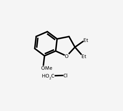 CCC1(CC)Cc2cccc(OC)c2O1.O=C(O)Cl